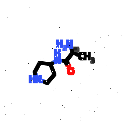 C[C@H](N)C(=O)NC1CCNCC1